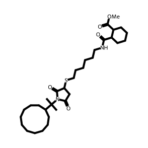 COC(=O)C1CCCCC1C(=O)NCCCCCCSC1CC(=O)N(C(C)(C)C2CCCCCCCCCC2)C1=O